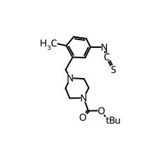 Cc1ccc(N=C=S)cc1CN1CCN(C(=O)OC(C)(C)C)CC1